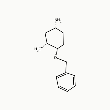 C[C@@H]1C[C@H](N)CC[C@@H]1OCc1ccccc1